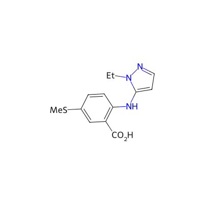 CCn1nccc1Nc1ccc(SC)cc1C(=O)O